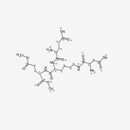 COC(=O)CCC(NC(=O)C(CCCCNC(=O)C(N)CC(=O)O)NC(=O)C(N)CCC(=O)O)C(=O)OC